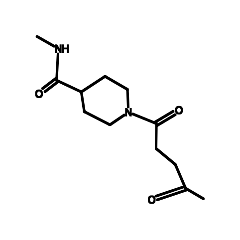 CNC(=O)C1CCN(C(=O)CCC(C)=O)CC1